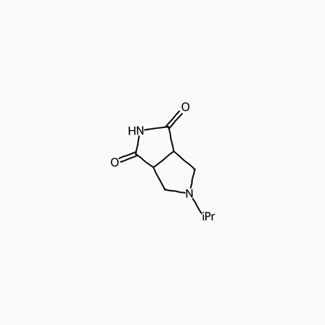 CC(C)N1CC2C(=O)NC(=O)C2C1